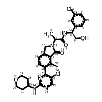 CC(C(=O)N[C@H](CO)c1cccc(Cl)c1)N1Cc2ccc(-c3nc(NC4CCOCC4)ncc3Cl)c(F)c2C1=O